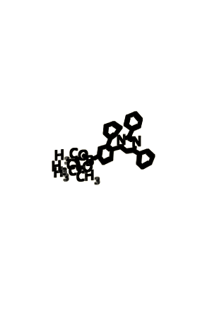 CC1(C)OB(c2ccc(-c3cc(-c4ccccc4)nc(-c4ccccc4)n3)c(-c3ccccc3)c2)OC1(C)C